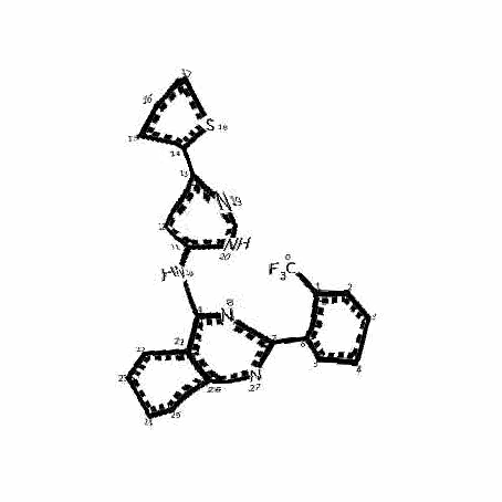 FC(F)(F)c1ccccc1-c1nc(Nc2cc(-c3cccs3)n[nH]2)c2ccccc2n1